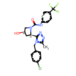 Cc1nnc([C@H]2C[C@@H](O)CN2C(=O)Nc2ccc(C(F)(F)F)cc2)n1Cc1ccc(Cl)cc1